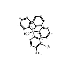 Cc1ccc([SH](C)(c2ccccc2)(c2ccccc2)c2ccccc2)cc1C